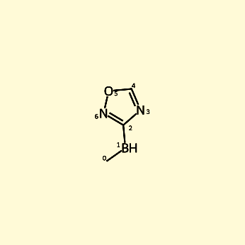 CBc1ncon1